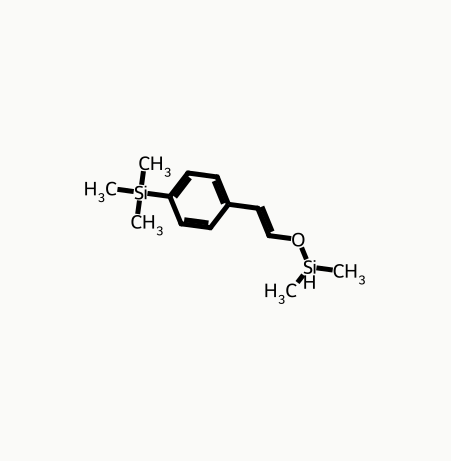 C[SiH](C)OC=Cc1ccc([Si](C)(C)C)cc1